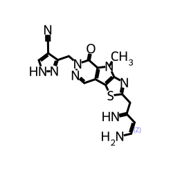 Cn1c2nc(CC(=N)/C=C\N)sc2c2cnn(Cc3n[nH]cc3C#N)c(=O)c21